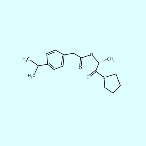 CC(C)c1ccc(CC(=O)O[C@H](C)C(=O)N2CCCC2)cc1